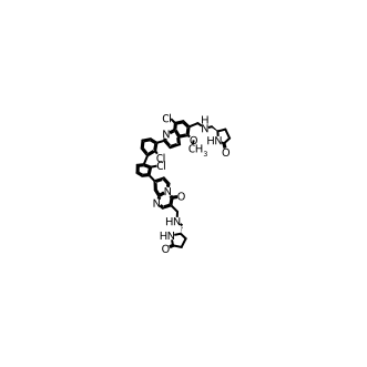 COc1c(CNC[C@H]2CCC(=O)N2)cc(Cl)c2nc(-c3cccc(-c4cccc(-c5ccn6c(=O)c(CNC[C@@H]7CCC(=O)N7)cnc6c5)c4Cl)c3Cl)ccc12